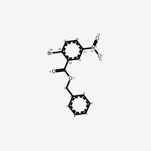 O=C(OCc1ccccc1)c1cc([N+](=O)[O-])ccc1Br